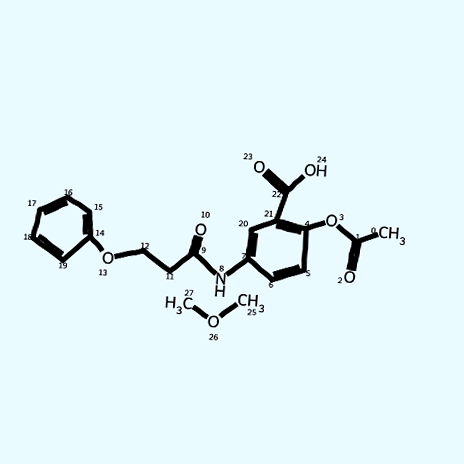 CC(=O)Oc1ccc(NC(=O)CCOc2ccccc2)cc1C(=O)O.COC